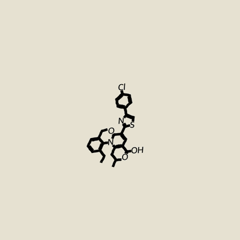 CCc1cccc(CC)c1-n1c(CC(C)C)c(C(=O)O)cc(-c2nc(-c3ccc(Cl)cc3)cs2)c1=O